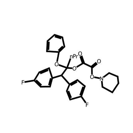 CCCC(OC(=O)C(=O)ON1CCCCC1)(Oc1ccccc1)C(c1ccc(F)cc1)c1ccc(F)cc1